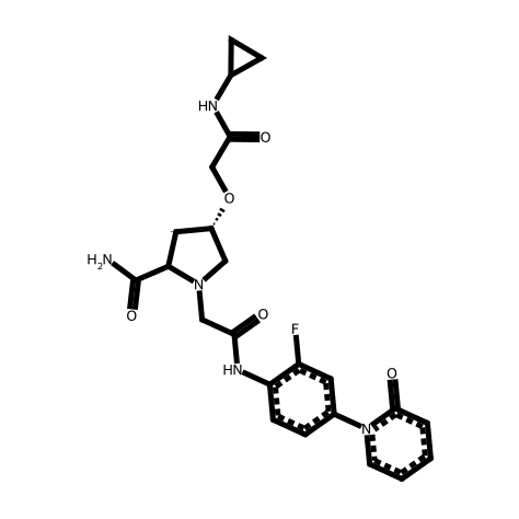 NC(=O)C1[CH][C@H](OCC(=O)NC2CC2)CN1CC(=O)Nc1ccc(-n2ccccc2=O)cc1F